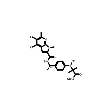 COC(=O)C(C)(C)[S+]([O-])c1ccc([C@@H](C)NC(=O)c2cc3c(Cl)c(Cl)c(C)nc3n2C)cc1